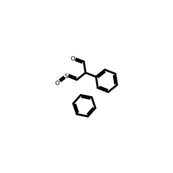 O=CC(C=S=O)c1ccccc1.c1ccccc1